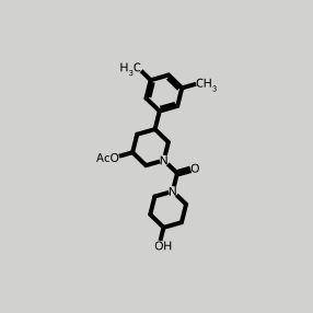 CC(=O)OC1CC(c2cc(C)cc(C)c2)CN(C(=O)N2CCC(O)CC2)C1